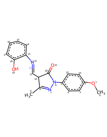 COc1ccc(N2N=C(C)C(/C=N/c3ccccc3O)C2=O)cc1